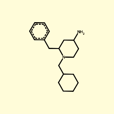 NC1CCN(CC2CCCCC2)C(Cc2ccccc2)C1